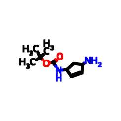 CC(C)(C)OC(=O)NC1C=CC(N)C1